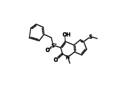 CSc1ccc2c(c1)c(O)c([S+]([O-])Cc1ccccc1)c(=O)n2C